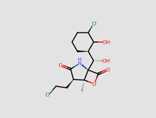 C[C@@]12OC(=O)[C@]1([C@@H](O)[C@H]1CCCC(Cl)C1O)NC(=O)[C@@H]2CCCl